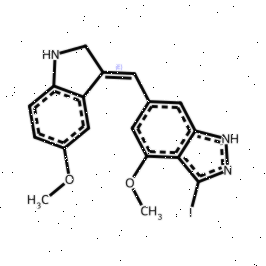 COc1ccc2c(c1)/C(=C\c1cc(OC)c3c(I)n[nH]c3c1)CN2